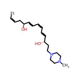 CC/C=C\C[C@H](O)/C=C/C=C\C=C\[C@@H](O)CCN1CCN(C)CC1